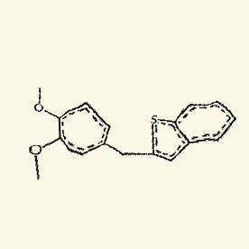 COc1ccc(Cc2cc3ccccc3s2)cc1OC